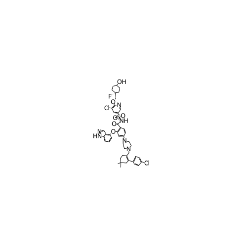 CC1(C)CCC(CN2CCN(c3ccc(C(=O)NS(=O)(=O)c4cnc(OC[C@]5(F)CC[C@H](O)CC5)c(Cl)c4)c(Oc4cccc5[nH]ncc45)c3)CC2)=C(c2ccc(Cl)cc2)C1